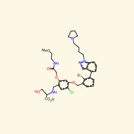 COCCNC(=O)COc1cc(OCc2cccc(-c3cccc4c3cnn4CCCCN3CCCC3)c2Br)c(Cl)cc1CNC(CO)C(=O)O